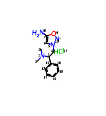 CN(C)C(CN1C=C(N)O[N]1)c1ccccc1.Cl